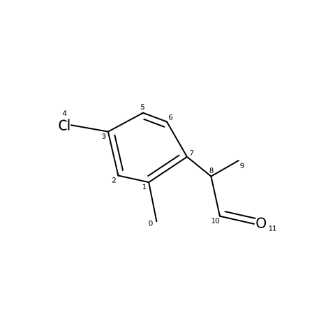 Cc1cc(Cl)ccc1C(C)C=O